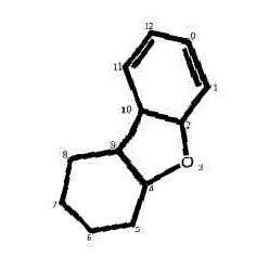 C1=CC2OC3CCCCC3C2C=C1